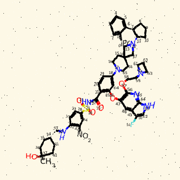 CC(C)c1ccccc1[C@H]1CCC[C@H]1N1CC2(CCN(c3ccc(C(=O)NS(=O)(=O)c4ccc(NC[C@H]5CC[C@](C)(O)CC5)c([N+](=O)[O-])c4)c(Oc4cc5c(F)c[nH]c5nc4OCCN4CCC4)c3)CC2)C1